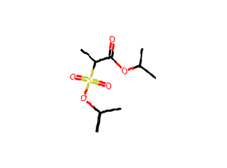 CC(C)OC(=O)C(C)S(=O)(=O)OC(C)C